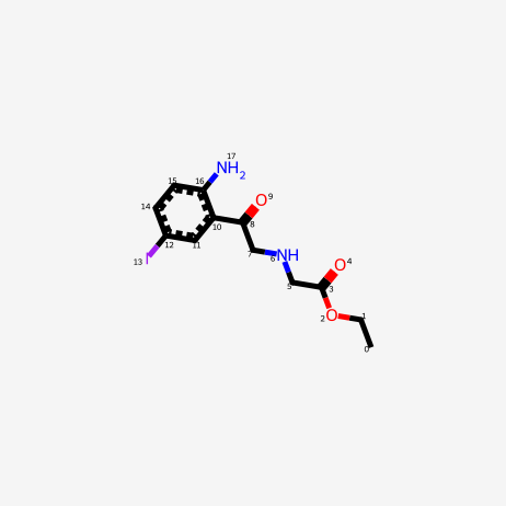 CCOC(=O)CNCC(=O)c1cc(I)ccc1N